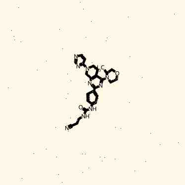 CC1COCCN1c1nc(-c2ccc(NC(=O)NCCC#N)cc2)nc2c1CCN(c1ccncn1)C2